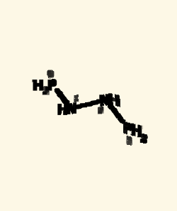 PNNP